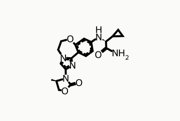 C[C@@H]1COC(=O)N1c1cn2c(n1)-c1ccc(N[C@@H](C(N)=O)C3CC3)cc1OCC2